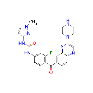 Cn1ccc(NC(=O)Nc2ccc(C(=O)c3ccc4ncc(N5CCNCC5)nc4c3)c(F)c2)n1